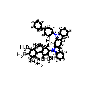 Bc1c(B)c(B)c(-c2c(B)c(B)c(-n3c4ccccc4c4cc5c6ccccc6n(-c6ccc(-c7ccccc7)cc6)c5cc43)c(B)c2B)c(B)c1B